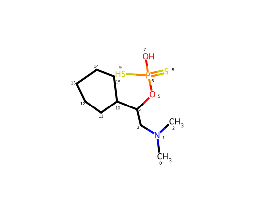 CN(C)CC(OP(O)(=S)S)C1CCCCC1